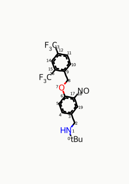 CC(C)(C)NCc1ccc(OCc2ccc(C(F)(F)F)cc2C(F)(F)F)c(N=O)c1